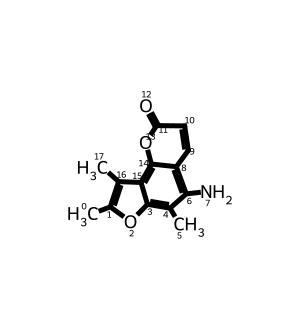 Cc1oc2c(C)c(N)c3ccc(=O)oc3c2c1C